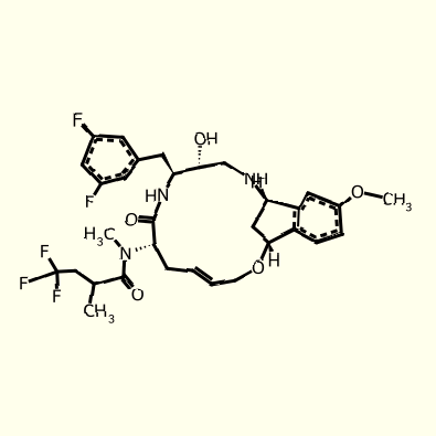 COc1ccc2c(c1)[C@@H]1C[C@H]2OC/C=C/C[C@H](N(C)C(=O)C(C)CC(F)(F)F)C(=O)N[C@@H](Cc2cc(F)cc(F)c2)[C@H](O)CN1